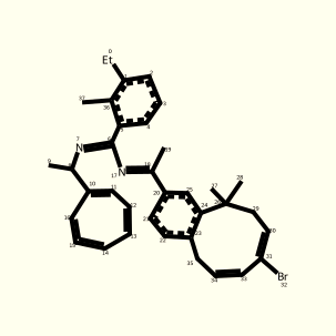 CCc1cccc(C(=N/C(C)C2=CC=CC=C=C2)/N=C(\C)c2ccc3c(c2)C(C)(C)C/C=C(Br)\C=C/C3)c1C